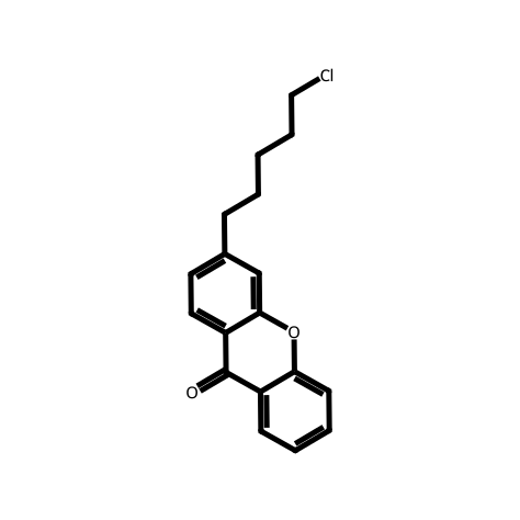 O=c1c2ccccc2oc2cc(CCCCCCl)ccc12